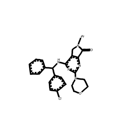 CC(C)N1Cc2c(NC(c3ccccc3)c3ccc(Cl)cc3)nc(N3CCOCC3)nc2C1=O